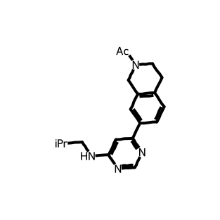 CC(=O)N1CCc2ccc(-c3cc(NCC(C)C)ncn3)cc2C1